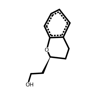 OCC[C@@H]1CCc2ccccc2O1